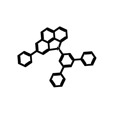 c1ccc(-c2cc(-c3ccccc3)cc(-n3c4cccc5ccc6cc(-c7ccccc7)cc3c6c54)c2)cc1